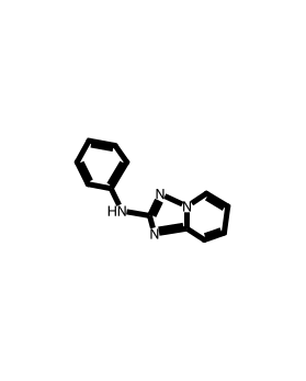 c1ccc(Nc2nc3ccccn3n2)cc1